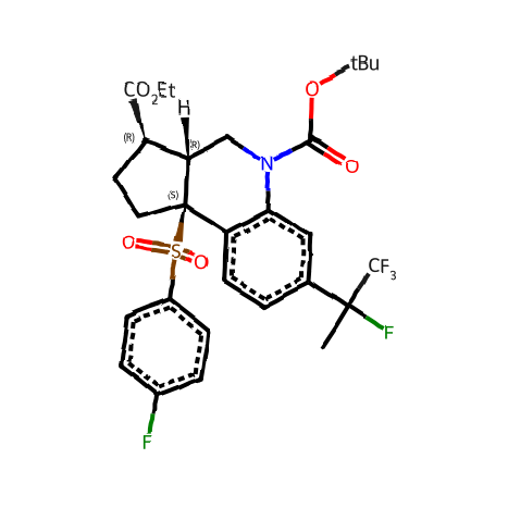 CCOC(=O)[C@@H]1CC[C@@]2(S(=O)(=O)c3ccc(F)cc3)c3ccc(C(C)(F)C(F)(F)F)cc3N(C(=O)OC(C)(C)C)C[C@@H]12